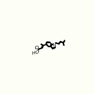 CC(=CC(=O)O)c1ccc2c(ccn2CCCC(C)C)c1